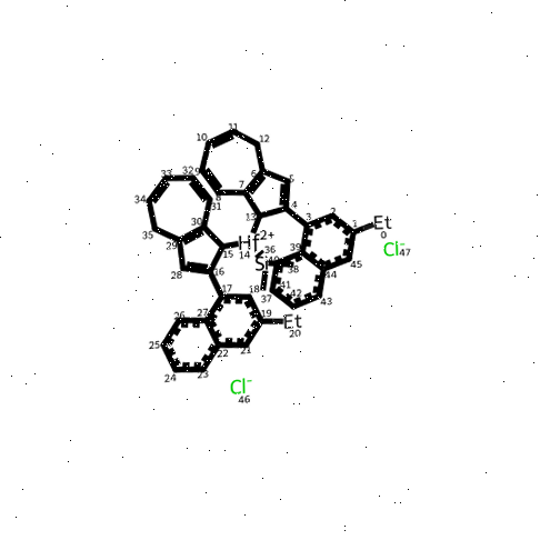 CCc1cc(C2=CC3=C(C=CC=CC3)[CH]2[Hf+2]([CH]2C(c3cc(CC)cc4ccccc34)=CC3=C2C=CC=CC3)=[Si](C)C)c2ccccc2c1.[Cl-].[Cl-]